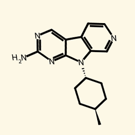 C[C@H]1CC[C@H](n2c3cnccc3c3cnc(N)nc32)CC1